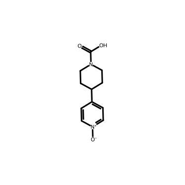 O=C(O)N1CCC(c2cc[n+]([O-])cc2)CC1